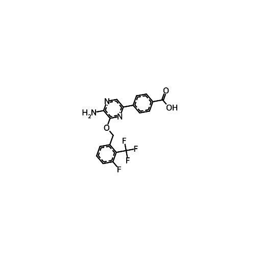 Nc1ncc(-c2ccc(C(=O)O)cc2)nc1OCc1cccc(F)c1C(F)(F)F